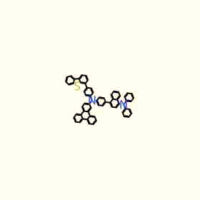 c1ccc(N(c2ccccc2)c2ccc(-c3ccc(N(c4ccc(-c5cccc6c5sc5ccccc56)cc4)c4ccc5c6ccccc6c6ccccc6c5c4)cc3)c3ccccc23)cc1